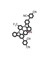 N#Cc1cccc(-c2c(-n3c4ccccc4c4cc(-c5ccc(C#N)cc5C#N)ccc43)cc(C(F)(F)F)cc2-n2c3ccccc3c3cc(-c4ccc(C#N)cc4C#N)ccc32)c1